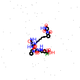 CC(C)C[C@H](NC(=O)c1cc2cc(C(F)(F)P(=O)(O)O)ccc2[nH]1)C(=O)N1c2ccccc2C[C@H]1C(=O)N[C@@H](CCC(N)=O)C(=O)NCCCCCCC#Cc1cccc2c1CN(C1CCC(=O)NC1=O)C2=O